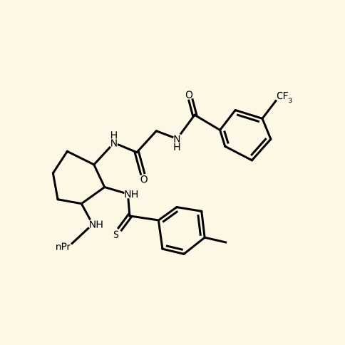 CCCNC1CCCC(NC(=O)CNC(=O)c2cccc(C(F)(F)F)c2)C1NC(=S)c1ccc(C)cc1